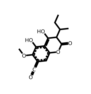 CCC(C)C1C(=O)Oc2cc(=C=O)c(OC)c(O)c2=C1O